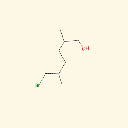 CC(CO)CCC(C)CBr